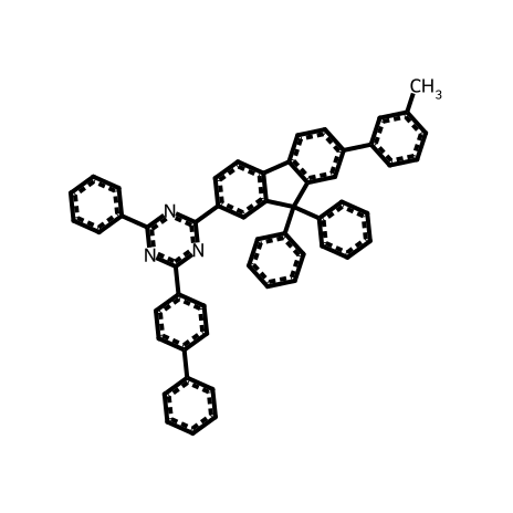 Cc1cccc(-c2ccc3c(c2)C(c2ccccc2)(c2ccccc2)c2cc(-c4nc(-c5ccccc5)nc(-c5ccc(-c6ccccc6)cc5)n4)ccc2-3)c1